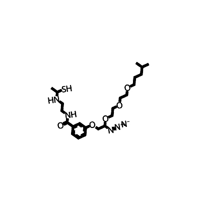 CC(C)CCCOCCOCCOC(COc1cccc(C(=O)NCCNC(C)S)c1)N=[N+]=[N-]